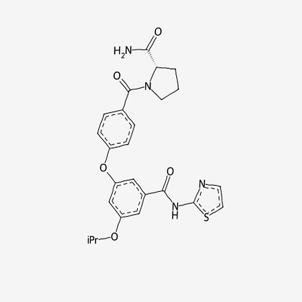 CC(C)Oc1cc(Oc2ccc(C(=O)N3CCC[C@H]3C(N)=O)cc2)cc(C(=O)Nc2nccs2)c1